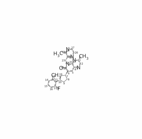 Cc1cnc2cc([C@H]3CC[C@@H](c4c(C)cccc4F)C3)c(=O)n(Cc3nccnc3C)c2n1